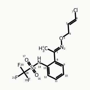 C/C(=N\OC/C=C/Cl)c1ccccc1NS(=O)(=O)C(F)(F)F